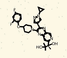 CC(C)(O)[C@@](C)(O)c1cc2nc(N3CCC(Oc4ccc(F)cc4F)CC3)c(-c3cnn(C4CC4)c3)nc2cn1